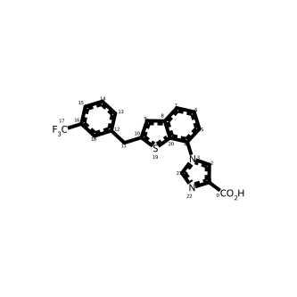 O=C(O)c1cn(-c2cccc3cc(Cc4cccc(C(F)(F)F)c4)sc23)cn1